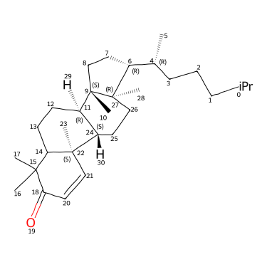 CC(C)CCC[C@@H](C)[C@H]1CC[C@@]2(C)[C@@H]3CCC4C(C)(C)C(=O)C=C[C@]4(C)[C@H]3CC[C@]12C